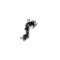 Cc1cccc(C)c1Nc1nn(C)c2nc(Nc3ccc4c(c3)CN(C(=O)[C@H]3CCCN3C(=O)C3CCN(c5ccc6c(c5)C(=O)N(C5CCC(=O)NC5=O)C6=O)CC3)CC4)ncc12